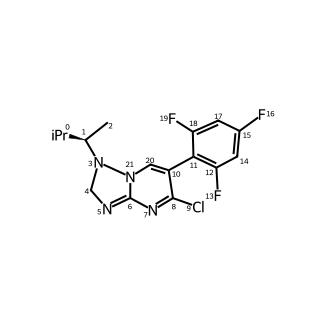 CC(C)[C@@H](C)N1CN=C2N=C(Cl)C(c3c(F)cc(F)cc3F)=CN21